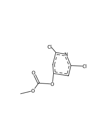 COC(=O)Oc1cc(Cl)nc(Cl)c1